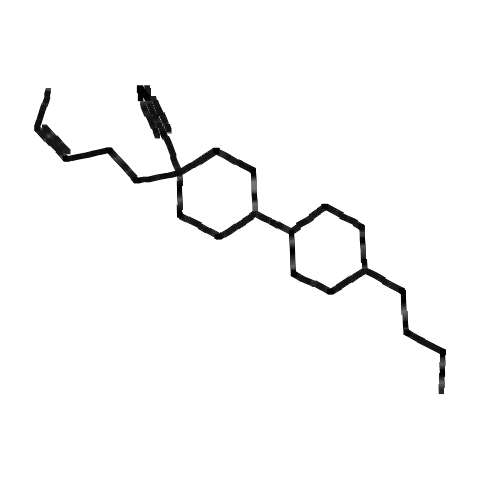 C/C=C\CCC1(C#N)CCC(C2CCC(CCCC)CC2)CC1